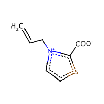 C=CC[n+]1ccsc1C(=O)[O-]